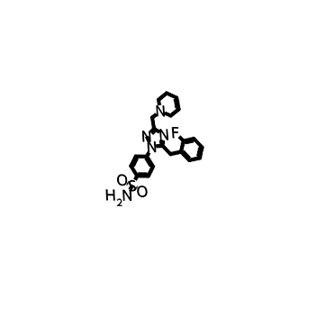 NS(=O)(=O)c1ccc(-n2nc(CN3CC=CCC3)nc2Cc2ccccc2F)cc1